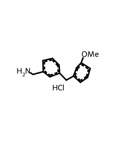 COc1cccc(Cc2cccc(CN)c2)c1.Cl